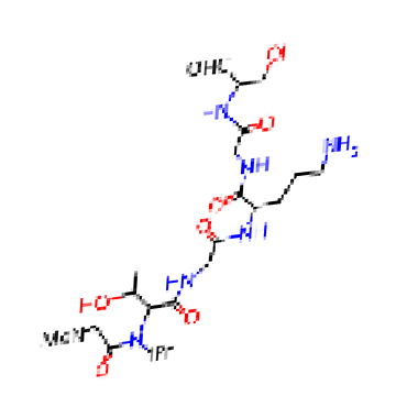 CNCC(=O)N(C(C)C)C(C(=O)NCC(=O)NC(CCCN)C(=O)NCC(=O)NC(C=O)CO)C(C)O